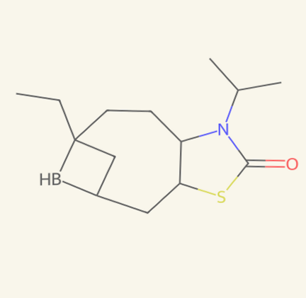 CCC12BC(CC3SC(=O)N(C(C)C)C3CC1)C2